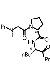 CCCC[C@H](NC(=O)[C@@H]1CCCN1C(=O)CNC(C)C)C(=O)C(C)C